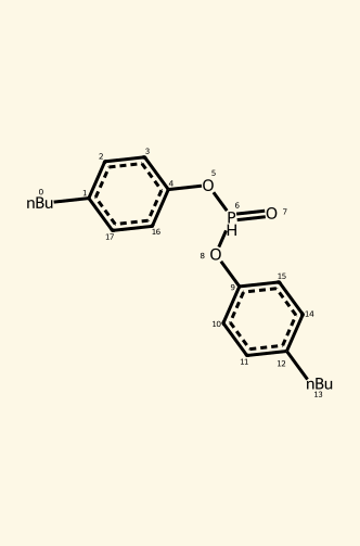 CCCCc1ccc(O[PH](=O)Oc2ccc(CCCC)cc2)cc1